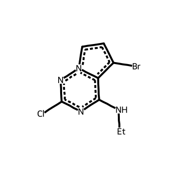 CCNc1nc(Cl)nn2ccc(Br)c12